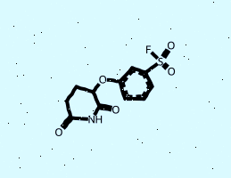 O=C1CCC(Oc2cccc(S(=O)(=O)F)c2)C(=O)N1